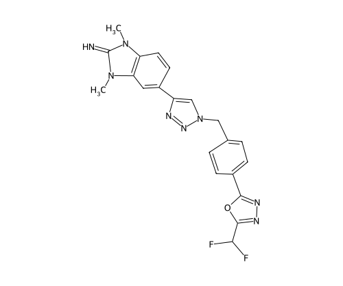 Cn1c(=N)n(C)c2cc(-c3cn(Cc4ccc(-c5nnc(C(F)F)o5)cc4)nn3)ccc21